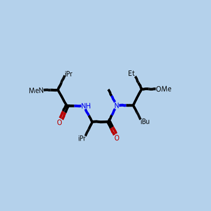 CCC(C)C(C(CC)OC)N(C)C(=O)C(NC(=O)C(NC)C(C)C)C(C)C